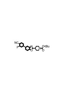 CC(C)(C)OC(=O)N1CCC(c2nc3cc(-c4ccc(C#N)c(F)c4)ccc3o2)CC1